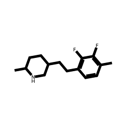 Cc1ccc(CCC2CCC(C)NC2)c(F)c1F